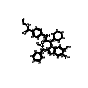 CCOC(=O)c1ccc(NC(=O)C(C2CCCCC2)n2c([C@@H](OC)c3ccccc3)nc3cc(F)c(F)cc32)cc1